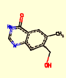 Cc1cc2c(=O)[nH]cnc2cc1CO